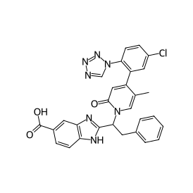 Cc1cn(C(Cc2ccccc2)c2nc3cc(C(=O)O)ccc3[nH]2)c(=O)cc1-c1cc(Cl)ccc1-n1cnnn1